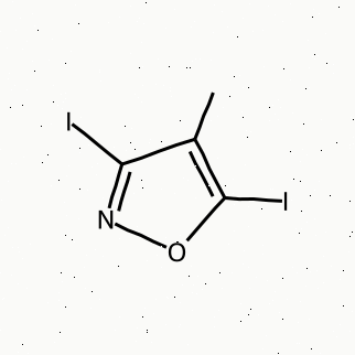 Cc1c(I)noc1I